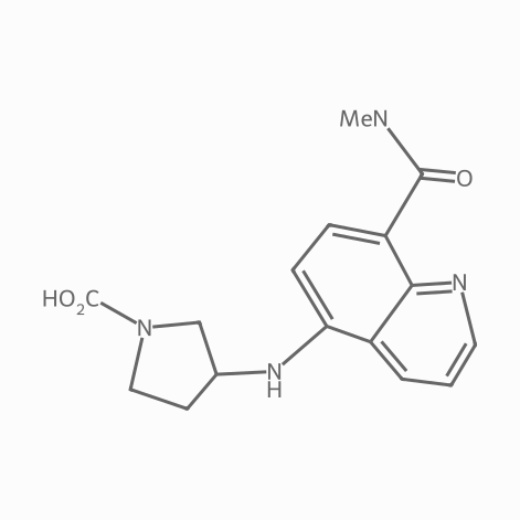 CNC(=O)c1ccc(NC2CCN(C(=O)O)C2)c2cccnc12